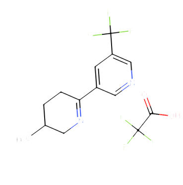 CC1CCC(c2cncc(C(F)(F)F)c2)=NC1.O=C(O)C(F)(F)F